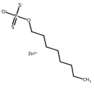 CCCCCCCCOP([O-])(=S)[S-].[Zn+2]